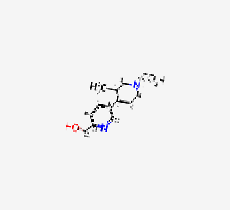 CC1CN(C(=O)O)CC=C1c1ccc(CO)nc1